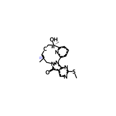 CSc1ncc2c(=O)n3n(c2n1)-c1cccc(n1)[C@](C)(O)CC/C=C(/C)C3